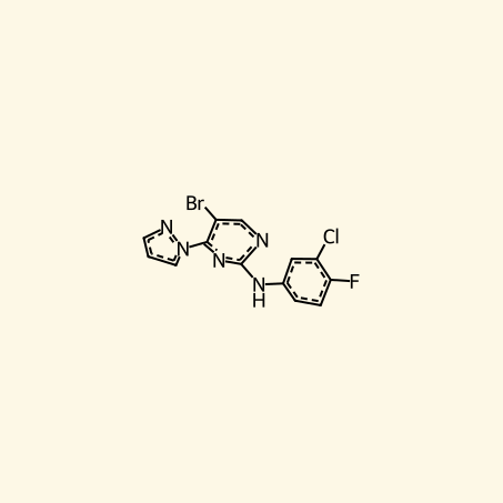 Fc1ccc(Nc2ncc(Br)c(-n3cccn3)n2)cc1Cl